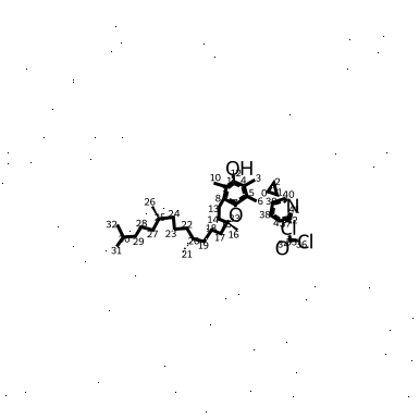 C1CC1.Cc1c(C)c2c(c(C)c1O)CC[C@@](C)(CCC[C@H](C)CCC[C@H](C)CCCC(C)C)O2.O=C(Cl)Cl.c1ccncc1